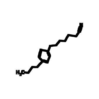 CCCCc1ccc(CCCCCCC#N)cc1